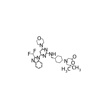 CC1(C)CN([C@H]2CC[C@H](CNc3nc(N4CCOCC4)cc(-n4c(C(F)F)nc5ccccc54)n3)CC2)CC(=O)O1